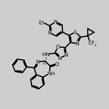 CCc1ncc(-c2sc(C3(C(F)(F)F)CC3)nc2-c2nnc(N[C@H]3N=C(c4ccccc4)c4ccccc4NC3=O)o2)cn1